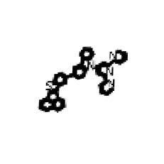 c1ccc(-c2cc(-n3c4ccccc4c4cc(-c5ccc6sc7c(c6c5)-c5cccc6cccc-7c56)ccc43)cc(-c3ccccn3)n2)nc1